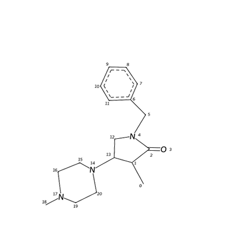 CC1C(=O)N(Cc2ccccc2)CC1N1CCN(C)CC1